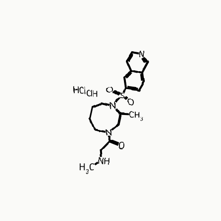 CNCC(=O)N1CCCCN(S(=O)(=O)c2ccc3cnccc3c2)C(C)C1.Cl.Cl